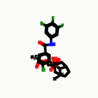 CC(=O)OCC1(O)CC2CC[C@H](C1)C2S(=O)(=O)c1cc(C(=O)Nc2cc(F)c(F)c(F)c2)ccc1Cl